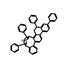 c1ccc(C2=C3CCC(c4ccccc4-c4ccc5c(c43)CC(c3ccccc3)c3cc(-c4ccccc4)ccc3-5)C(c3ccccc3)N2)cc1